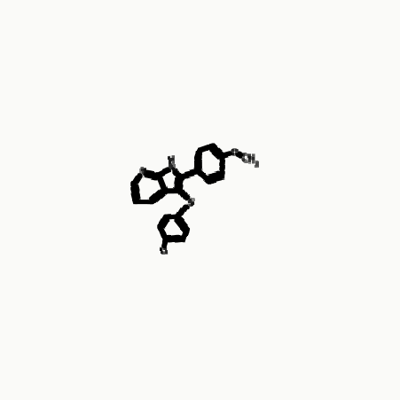 COc1ccc(-c2[nH]c3ncccc3c2Sc2ccc(Cl)cc2)cc1